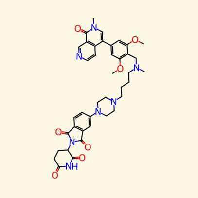 COc1cc(-c2cn(C)c(=O)c3cnccc23)cc(OC)c1CN(C)CCCCN1CCN(c2ccc3c(c2)C(=O)N(C2CCC(=O)NC2=O)C3=O)CC1